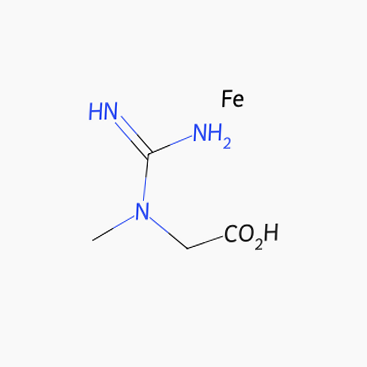 CN(CC(=O)O)C(=N)N.[Fe]